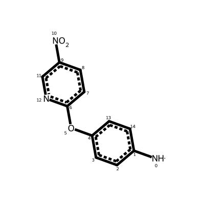 [NH]c1ccc(Oc2ccc([N+](=O)[O-])cn2)cc1